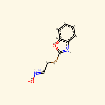 O/N=C/CSc1nc2ccccc2o1